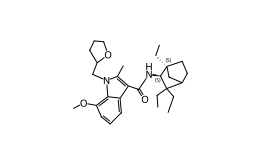 CCC1(CC)C2CC[C@@](CC)(C2)[C@@H]1NC(=O)c1c(C)n(CC2CCCO2)c2c(OC)cccc12